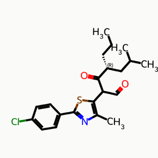 CCC[C@H](CC(C)C)C(=O)C(C=O)c1sc(-c2ccc(Cl)cc2)nc1C